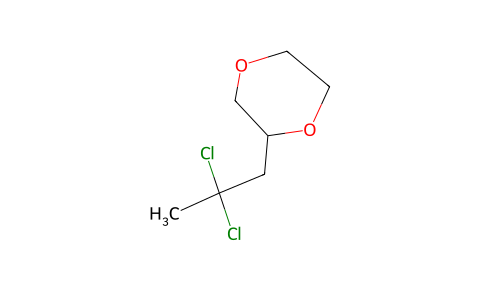 CC(Cl)(Cl)CC1COCCO1